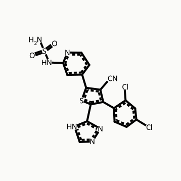 N#Cc1c(-c2ccnc(NS(N)(=O)=O)c2)sc(-c2nnc[nH]2)c1-c1ccc(Cl)cc1Cl